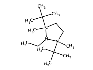 CCN1[Si](C)(C(C)(C)C)CC[Si]1(C)C(C)(C)C